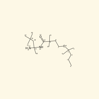 CCCC(C)(C)OCCC(C)(C)C(=O)NC(C)(N)CC(C)(C)C